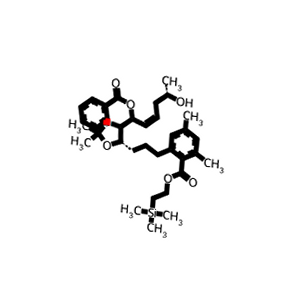 Cc1cc(C)c(C(=O)OCC[Si](C)(C)C)c(CCC[C@@H]2OC(C)(C)OC2C(/C=C\C[C@H](C)O)OC(=O)c2ccccc2)c1